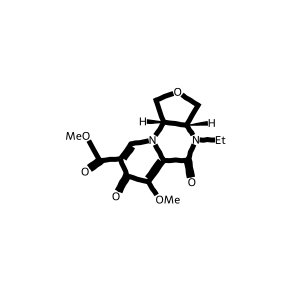 CCN1C(=O)c2c(OC)c(=O)c(C(=O)OC)cn2[C@@H]2COC[C@@H]21